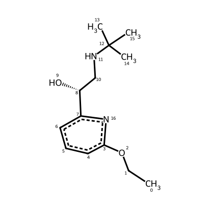 CCOc1cccc([C@H](O)CNC(C)(C)C)n1